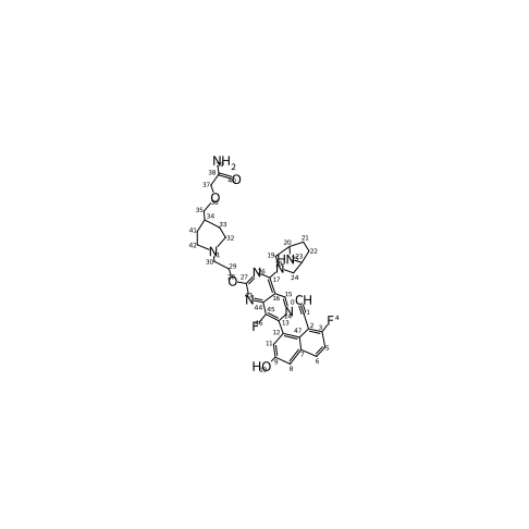 C#Cc1c(F)ccc2cc(O)cc(-c3ncc4c(N5CC6CCC(C5)N6)nc(OCCN5CCC(COCC(N)=O)CC5)nc4c3F)c12